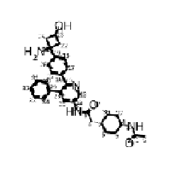 CC(=O)N[C@H]1CC[C@H](CC(=O)Nc2cnc(-c3ccc(C4(N)CC(O)C4)cc3)c(-c3ccccc3)c2)CC1